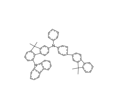 CC1(C)c2ccccc2-c2ccc(-c3ccc(N(c4ccccc4)c4ccc5c(c4)C(C)(C)c4cccc(-n6c7ccccc7c7ccccc76)c4-5)cc3)cc21